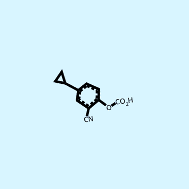 N#Cc1cc(C2CC2)ccc1OC(=O)O